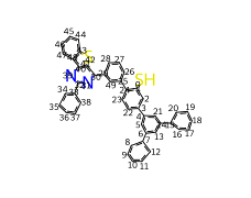 Sc1cc(-c2cc(-c3ccccc3)cc(-c3ccccc3)c2)ccc1-c1cccc(-c2nc(-c3ccccc3)nc3c2sc2ccccc23)c1